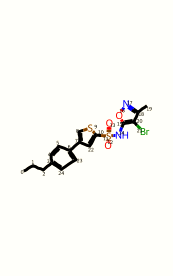 CCCc1ccc(-c2csc(S(=O)(=O)Nc3onc(C)c3Br)c2)cc1